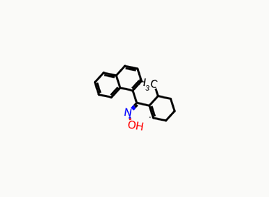 CC1CCC[C]=C1C(=NO)c1cccc2ccccc12